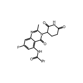 Cc1nc2cc(F)cc(NC(=O)C(C)C)c2c(=O)n1C1CCC(=O)NC1=O